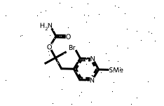 CSc1ncc(CC(C)(C)OC(N)=O)c(Br)n1